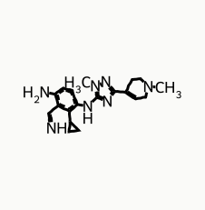 CN1CC=C(c2nc(Nc3ccc(N)c(C=N)c3C3CC3)n(C)n2)CC1